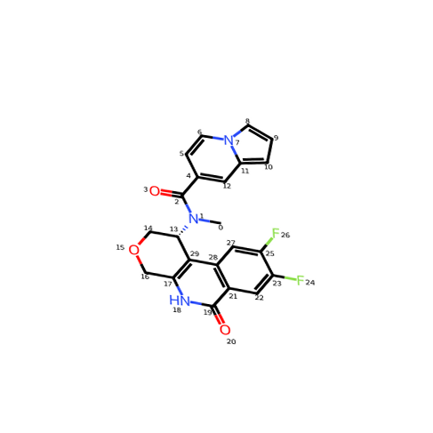 CN(C(=O)c1ccn2cccc2c1)[C@H]1COCc2[nH]c(=O)c3cc(F)c(F)cc3c21